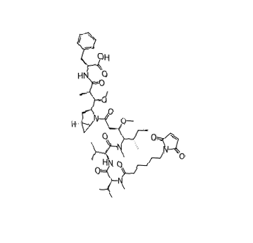 CC[C@H](C)C([C@@H](CC(=O)N1C2C[C@H]2C[C@H]1[C@H](OC)[C@@H](C)C(=O)N[C@@H](Cc1ccccc1)C(=O)O)OC)N(C)C(=O)[C@@H](NC(=O)[C@H](C(C)C)N(C)C(=O)CCCCCN1C(=O)C=CC1=O)C(C)C